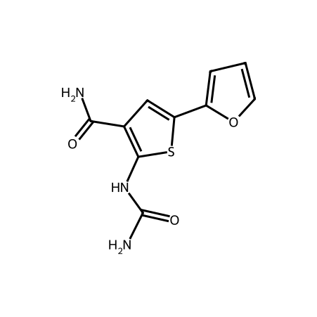 NC(=O)Nc1sc(-c2ccco2)cc1C(N)=O